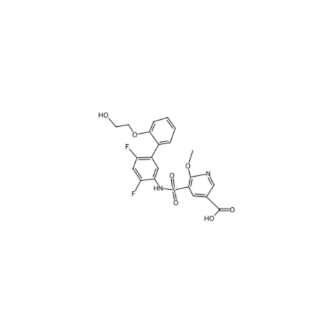 COc1ncc(C(=O)O)cc1S(=O)(=O)Nc1cc(-c2ccccc2OCCO)c(F)cc1F